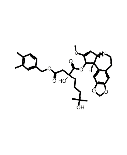 COC1=CC23CCCN2CCc2cc4c(cc2[C@@H]3C1OC(=O)[C@@](O)(CCCC(C)(C)O)CC(=O)OCc1ccc(C)c(C)c1)OCO4